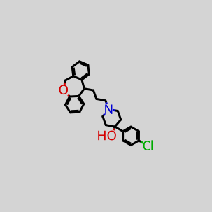 OC1(c2ccc(Cl)cc2)CCN(CCCC2c3ccccc3COc3ccccc32)CC1